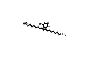 CCCCCCCCCCCCCCCCCCO.OC1CCCCC1